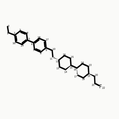 CCc1ccc(-c2ccc(CC[C@H]3CC[C@H]([C@H]4CC[C@H](CCF)CC4)CC3)cc2)cc1